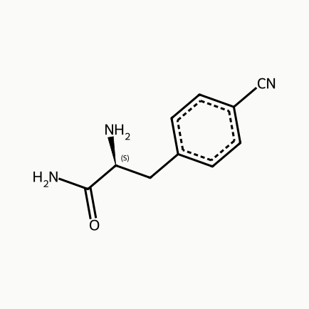 N#Cc1ccc(C[C@H](N)C(N)=O)cc1